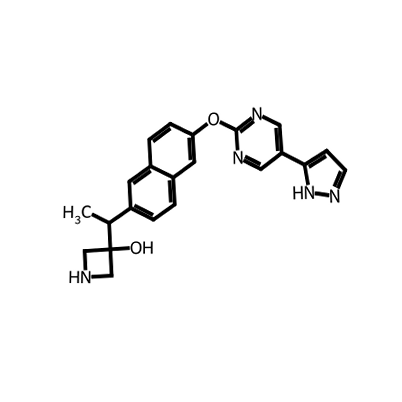 CC(c1ccc2cc(Oc3ncc(-c4ccn[nH]4)cn3)ccc2c1)C1(O)CNC1